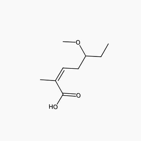 CCC(CC=C(C)C(=O)O)OC